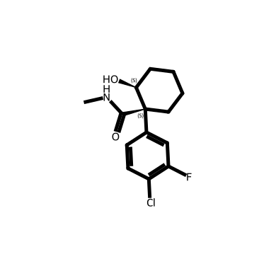 CNC(=O)[C@]1(c2ccc(Cl)c(F)c2)CCCC[C@@H]1O